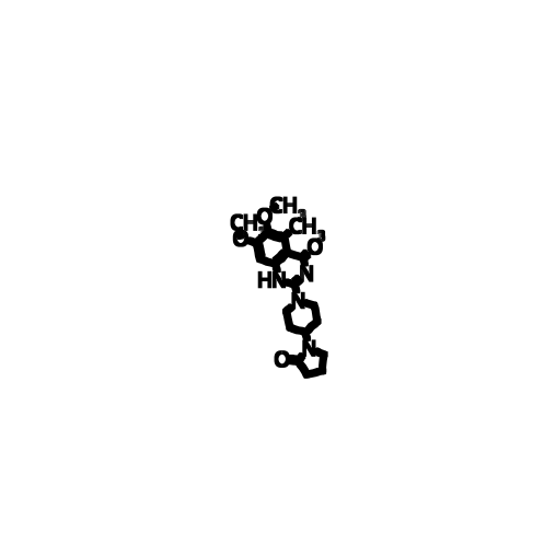 COc1cc2[nH]c(N3CCC(N4CCCC4=O)CC3)nc(=O)c2c(C)c1OC